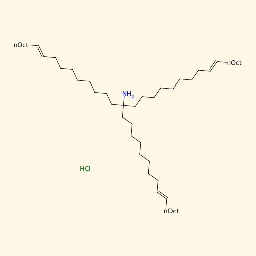 CCCCCCCCC=CCCCCCCCCC(N)(CCCCCCCCC=CCCCCCCCC)CCCCCCCCC=CCCCCCCCC.Cl